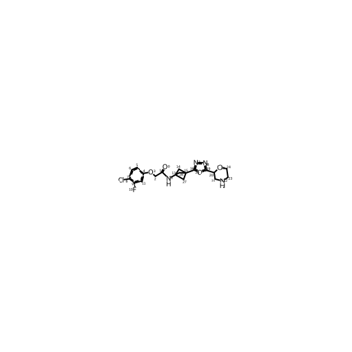 O=C(COc1ccc(Cl)c(F)c1)NC12CC(c3nnc(C4CNCCO4)o3)(C1)C2